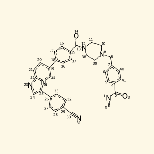 C=NC(=O)c1ccc(CN2CCN(C(=O)c3ccc(-c4ccc5ncc(-c6ccc(C#N)cc6)n5c4)cc3)CC2)cc1